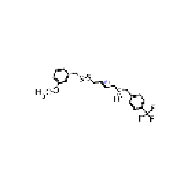 COc1cccc(CSSC/C=C/C[S+]([O-])Cc2ccc(C(F)(F)F)cc2)c1